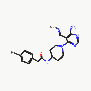 CO/N=C/c1c(N)ncnc1N1CCC(NC(=O)Cc2ccc(C(C)C)cc2)CC1